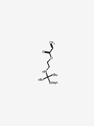 C=CC(=O)OCCNC(CCCC)(CCCC)CCCCCCC